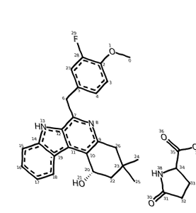 COc1ccc(Cc2nc3c(c4c2[nH]c2ccccc24)[C@@H](O)CC(C)(C)C3)cc1F.O=C1CCC(C(=O)O)N1